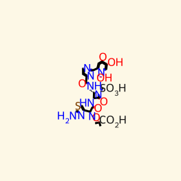 CC(C)(O/N=C(\C(=O)NC1C(=O)N(S(=O)(=O)O)[C@H]1CNC(=O)c1ccnc(-c2cc(=O)c(O)cn2O)n1)c1csc(N)n1)C(=O)O